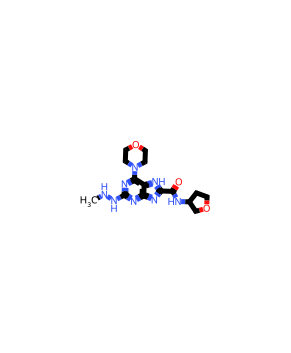 CNNc1nc(N2CCOCC2)c2[nH]c(C(=O)NC3CCOC3)nc2n1